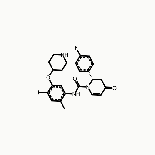 Cc1cc(I)c(OC2CCNCC2)cc1NC(=O)N1C=CC(=O)C[C@H]1c1ccc(F)cc1